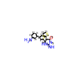 CN1C(=N)N[C@](C)(c2cc(-c3cccc(N)c3)cs2)[C@H](c2cccs2)C1=O